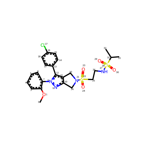 COc1ccccc1-n1nc2c(c1-c1ccc(Cl)cc1)CN(S(=O)(=O)CCNS(=O)(=O)C(C)C)C2